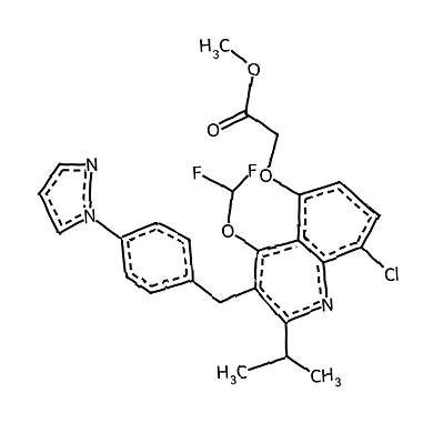 COC(=O)COc1ccc(Cl)c2nc(C(C)C)c(Cc3ccc(-n4cccn4)cc3)c(OC(F)F)c12